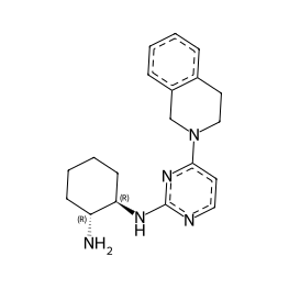 N[C@@H]1CCCC[C@H]1Nc1nccc(N2CCc3ccccc3C2)n1